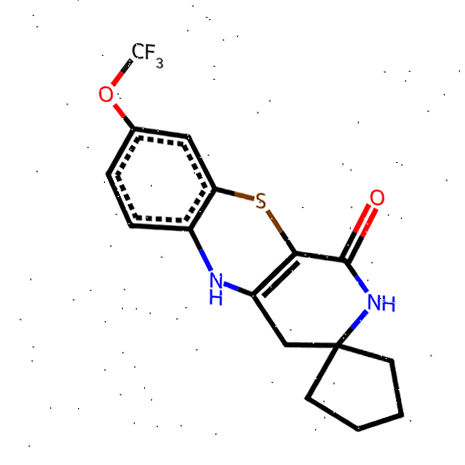 O=C1NC2(CCCC2)CC2=C1Sc1cc(OC(F)(F)F)ccc1N2